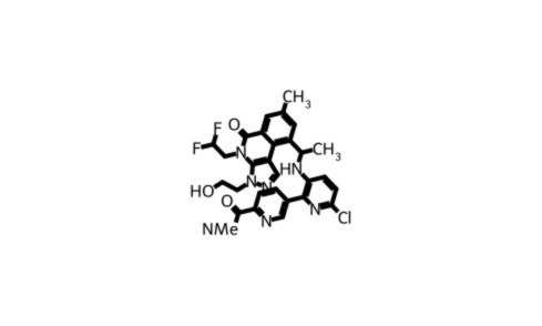 CNC(=O)c1ccc(-c2nc(Cl)ccc2NC(C)c2cc(C)cc3c(=O)n(CC(F)F)c4c(cnn4CCO)c23)cn1